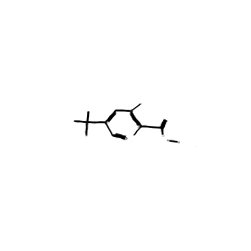 COC(=O)c1ncc(C(F)(F)F)cc1C